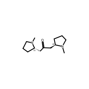 CN1CCC[C@@H]1CC(=O)C[C@@H]1CCCN1C